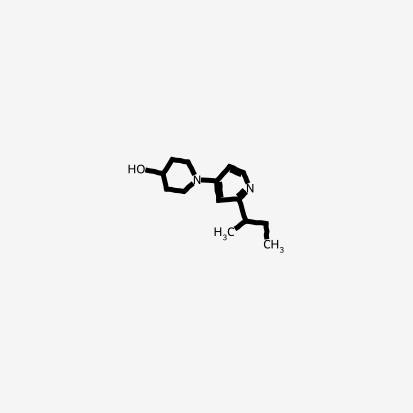 CCC(C)c1cc(N2CCC(O)CC2)ccn1